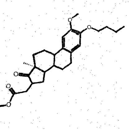 CCCCOc1cc2c(cc1OC)C1CC[C@]3(C)C(=O)C(CC(=O)OCC)CC3C1CC2